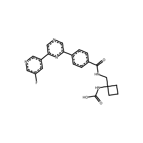 O=C(O)NC1(CNC(=O)c2ccc(-c3cncc(-c4cncc(F)c4)n3)cc2)CCC1